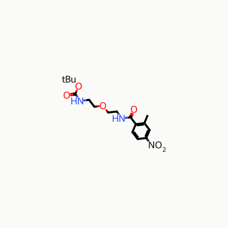 Cc1cc([N+](=O)[O-])ccc1C(=O)NCCOCCNC(=O)OC(C)(C)C